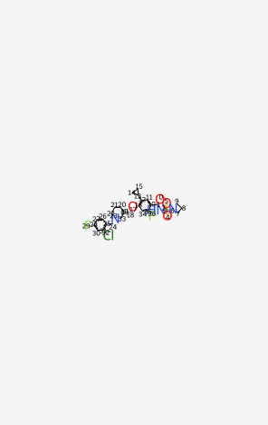 O=C(NS(=O)(=O)N1CCC1)c1cc(C2CC2)c(OC[C@H]2CCCN(Cc3ccc(F)cc3Cl)C2)cc1F